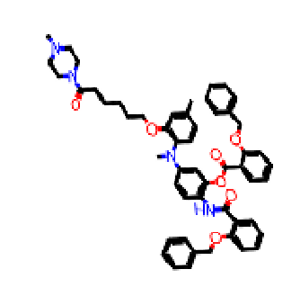 Cc1ccc(N(C)c2ccc(NC(=O)c3ccccc3OCc3ccccc3)c(OC(=O)c3ccccc3OCc3ccccc3)c2)c(OCCCCCC(=O)N2CCN(C)CC2)c1